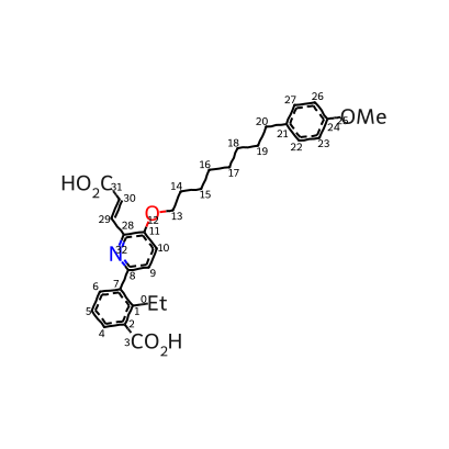 CCc1c(C(=O)O)cccc1-c1ccc(OCCCCCCCCc2ccc(OC)cc2)c(/C=C/C(=O)O)n1